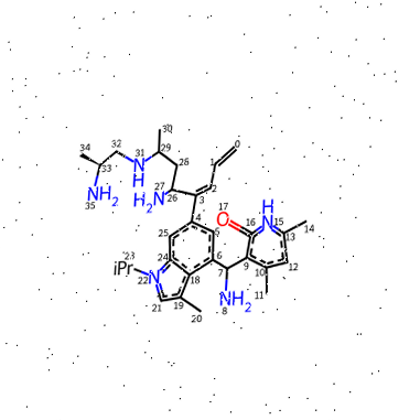 C=C/C=C(/c1cc(C(N)c2c(C)cc(C)[nH]c2=O)c2c(C)cn(C(C)C)c2c1)C(N)CC(C)NC[C@H](C)N